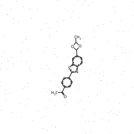 CC(=O)c1ccc(-c2nc3ccc(C4OC(C)O4)cc3s2)cc1